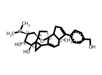 CN(C)[C@H]1C[C@@]23CC[C@@]4(O2)C(=CC[C@]2(C)C(c5ccc(CO)cc5)=CCC24)C2CC23[C@@H](O)[C@@H]1O